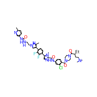 CCC(CCN(C)C)C(=O)N1CCN(C(=O)c2ccc(NC(=O)c3ncc(-c4ccc(-c5cn(CCNC(=O)Nc6ccc(C)nc6)nc5C)c(F)c4F)n3C)cc2Cl)CC1